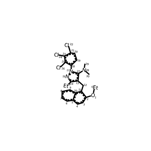 CCOc1ccc2ccccc2c1Cc1c(CC)nn(-c2ccc(Cl)c(Cl)c2Cl)c1N(C)C